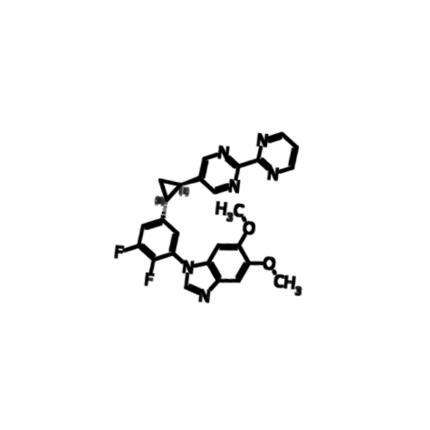 COc1cc2ncn(-c3cc([C@@H]4C[C@H]4c4cnc(-c5ncccn5)nc4)cc(F)c3F)c2cc1OC